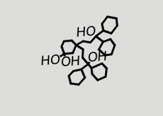 OC1(O)CCCC(CCC(O)(C2CCCCC2)C2CCCCC2)(CCC(O)(C2CCCCC2)C2CCCCC2)C1